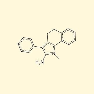 Cn1c(N)c(-c2ccccc2)c2c1-c1ccccc1CC2